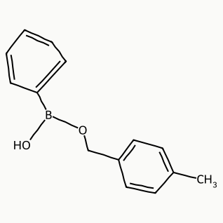 Cc1ccc(COB(O)c2ccccc2)cc1